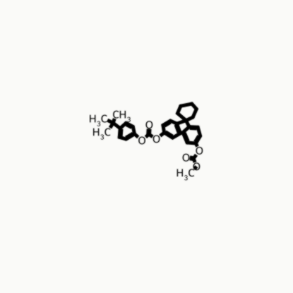 COC(=O)Oc1ccc(C2(c3ccc(OC(=O)Oc4ccc(C(C)(C)C)cc4)cc3)CCCCC2)cc1